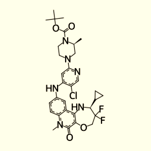 C[C@H]1CN(c2cc(Nc3ccc4c(c3)c3c(c(=O)n4C)OCC(F)(F)[C@H](C4CC4)N3)c(Cl)cn2)CCN1C(=O)OC(C)(C)C